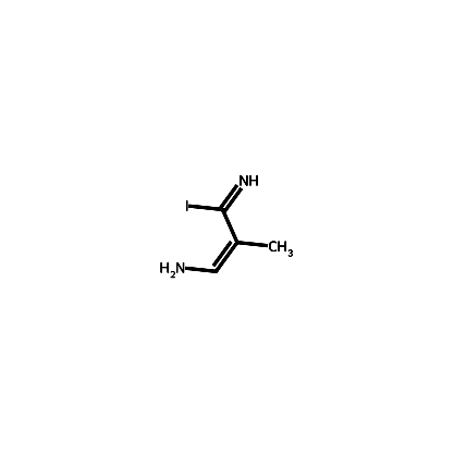 C/C(=C/N)C(=N)I